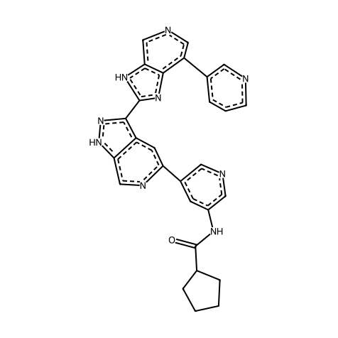 O=C(Nc1cncc(-c2cc3c(-c4nc5c(-c6cccnc6)cncc5[nH]4)n[nH]c3cn2)c1)C1CCCC1